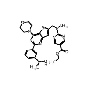 CCOC(=O)c1cnc(N(C)Cc2cc3nc(-c4cccc([C@H](C)O)c4)nc(N4CCOCC4)c3s2)nc1